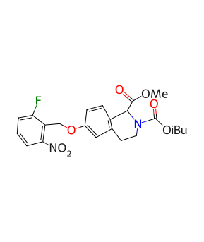 COC(=O)C1c2ccc(OCc3c(F)cccc3[N+](=O)[O-])cc2CCN1C(=O)OCC(C)C